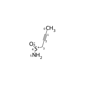 CC#CC[S+](N)[O-]